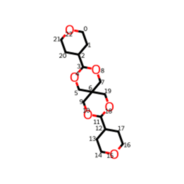 C1CC(C2OCC3(CO2)COC(C2CCOCC2)OC3)CCO1